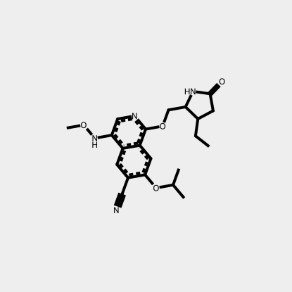 CCC1CC(=O)NC1COc1ncc(NOC)c2cc(C#N)c(OC(C)C)cc12